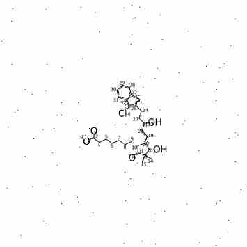 COC(=O)CCCCCC[C@H]1C(=O)C(C)(C)[C@@H](O)[C@@H]1/C=C/C(O)CCc1sc2ccccc2c1Cl